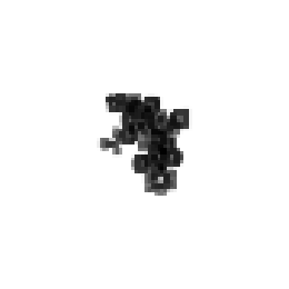 C=CCOC(=O)c1c(C=C2NC(=O)N(c3ccccc3)C2=O)c2c(Cl)cc(Cl)cc2n1C(=O)OC(C)(C)C